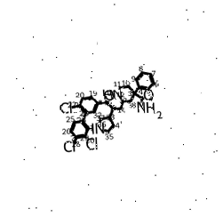 NC(=O)C1(c2ccccc2)CCNC(CC(C(=O)c2ccc(Cl)c(-c3ccc(Cl)c(Cl)c3)c2)C2CCNC2)C1